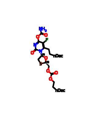 CCCCCCCCCCCCOC(=O)OC[C@H]1O[C@@H](n2c(CCCCCCCCCCCC)c(F)c(OC(N)=O)nc2=O)CS1